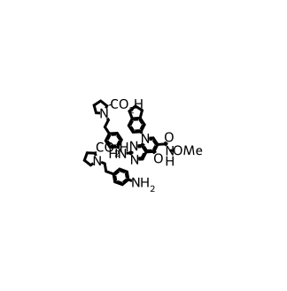 CONC(=O)c1cn(-c2ccc3c(c2)CCC3)c2nc(Nc3ccc(CCN4CCC[C@@H]4C(=O)O)cc3)ncc2c1=O.Nc1ccc(CCN2CCC[C@@H]2C(=O)O)cc1